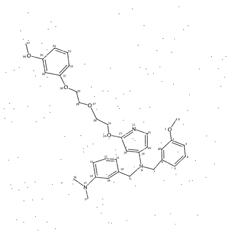 COc1cccc(CN(Cc2cccc(N(C)C)c2)c2ccnc(OCCOCCOc3cccc(OC)c3)c2)c1